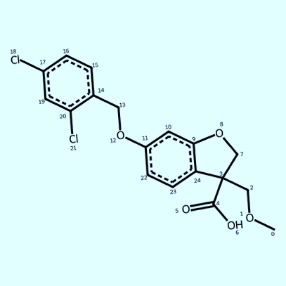 COCC1(C(=O)O)COc2cc(OCc3ccc(Cl)cc3Cl)ccc21